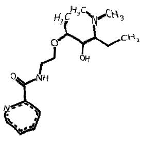 CCC(C(O)[C@H](C)OCCNC(=O)c1ccccn1)N(C)C